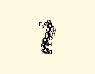 O=C(NNC(=S)Nc1ccc(Cl)c(C(F)(F)F)c1)c1cccc(NC(=O)c2cccc(Cl)c2)c1